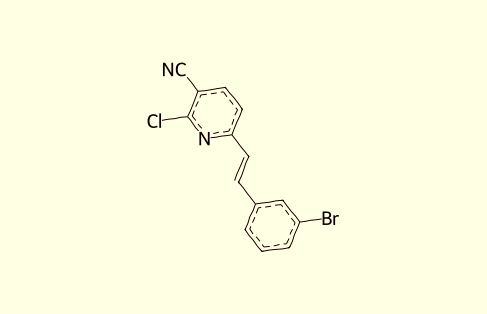 N#Cc1ccc(/C=C/c2cccc(Br)c2)nc1Cl